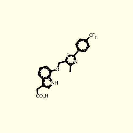 Cc1nc(-c2ccc(C(F)(F)F)cc2)sc1COc1cccc2c(CC(=O)O)c[nH]c12